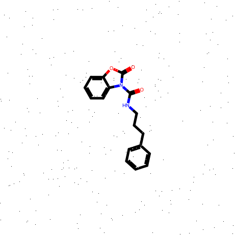 O=C(NCCCc1ccccc1)n1c(=O)oc2ccccc21